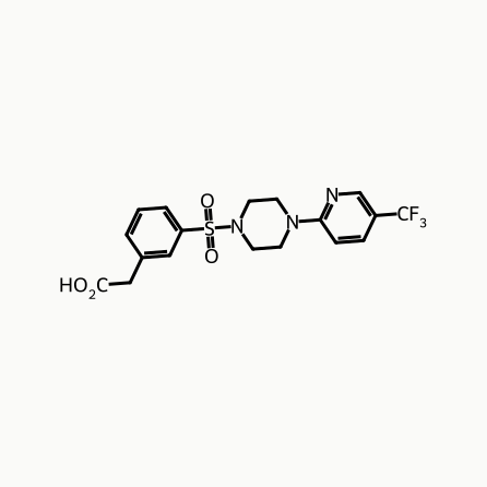 O=C(O)Cc1cccc(S(=O)(=O)N2CCN(c3ccc(C(F)(F)F)cn3)CC2)c1